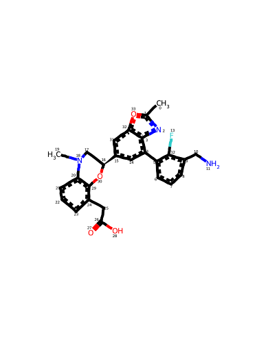 Cc1nc2c(-c3cccc(CN)c3F)cc([C@@H]3CN(C)c4cccc(CC(=O)O)c4O3)cc2o1